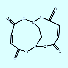 O=C1C=CC(=O)ON2CCN(O1)OC(=O)C=CC(=O)O2